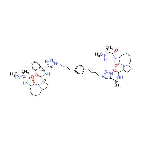 CN[C@@H](C)C(=O)NC1CCCCC2CCC(C(=O)N[C@@H](C)c3cn(CCCCc4ccc(CCCCn5cc([C@@H](NC(=O)[C@@H]6CCC7CCCCC(NC(=O)[C@H](C)NC)C(=O)N76)c6ccccc6)nn5)cc4)nn3)N2C1=O